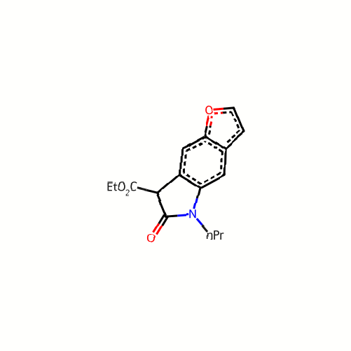 CCCN1C(=O)C(C(=O)OCC)c2cc3occc3cc21